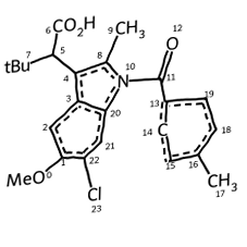 COc1cc2c(C(C(=O)O)C(C)(C)C)c(C)n(C(=O)c3ccc(C)cc3)c2cc1Cl